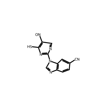 N#Cc1ccc2ncn(-c3ncc(N=O)c(S)n3)c2c1